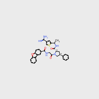 CC(NC(=O)[C@@H]1C[C@@H](c2ccccc2)CN1C(=O)CNC(=O)c1ccc2oc3ccccc3c2c1)c1cc(C(=N)N)cs1